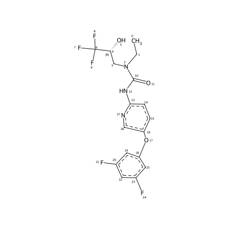 CCN(C[C@@H](O)C(F)(F)F)C(=O)Nc1ccc(Oc2cc(F)cc(F)c2)cn1